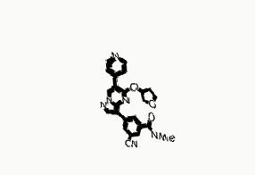 CNC(=O)c1cc(C#N)cc(-c2cnn3cc(-c4ccncc4)c(OC4CCOC4)nc23)c1